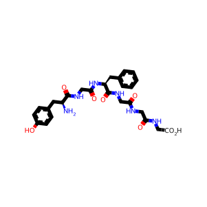 N[C@@H](Cc1ccc(O)cc1)C(=O)NCC(=O)N[C@@H](Cc1ccccc1)C(=O)NCC(=O)NCC(=O)NCC(=O)O